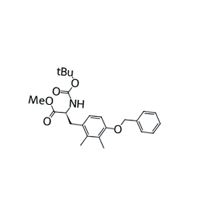 COC(=O)[C@H](Cc1ccc(OCc2ccccc2)c(C)c1C)NC(=O)OC(C)(C)C